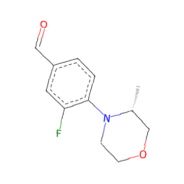 C[C@@H]1COCCN1c1ccc(C=O)cc1F